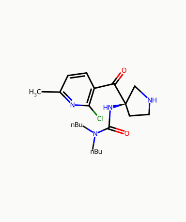 CCCCN(CCCC)C(=O)N[C@]1(C(=O)c2ccc(C)nc2Cl)CCNC1